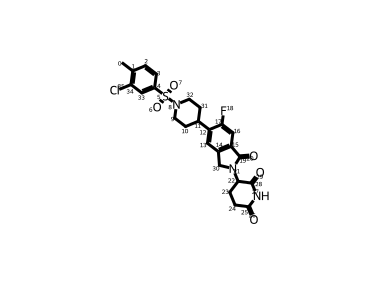 Cc1ccc(S(=O)(=O)N2CCC(c3cc4c(cc3F)C(=O)N(C3CCC(=O)NC3=O)C4)CC2)cc1Cl